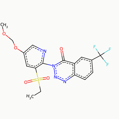 CCS(=O)(=O)c1cc(OCOC)cnc1-n1nnc2ccc(C(F)(F)F)cc2c1=O